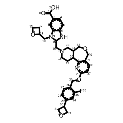 O=C(O)c1ccc2c(c1)N(CC1CCO1)C(CN1CCC3c4nc(OCc5ccc(C6COC6)cc5F)ccc4COCC3C1)N2